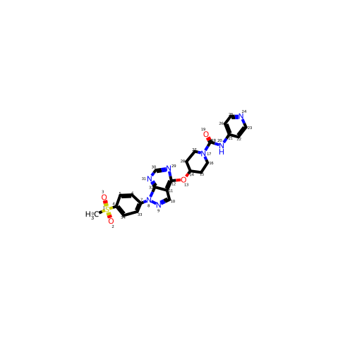 CS(=O)(=O)c1ccc(-n2ncc3c(OC4CCN(C(=O)Nc5ccncc5)CC4)ncnc32)cc1